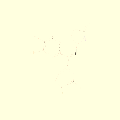 CC(C)c1ccc(/C(=C\[C@H]2CCC(=O)N2)c2ccc(Cl)c(=O)[nH]2)cc1Cl